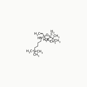 C=C[Si](C)(NCCCC[Si](C)(C)C)O[Si](C)(C)C(C)(C)C